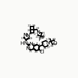 CC1(N2CCC(c3cc4nc(Nc5cnn(C6CC7(CN8CC(F)(F)C8)CCC67)c5)ncc4cc3Cl)CC2)COC1